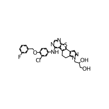 OCC(O)Cn1ncc2c1CCc1c-2sc2ncnc(Nc3ccc(OCc4cccc(F)c4)c(Cl)c3)c12